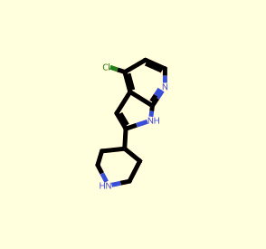 Clc1ccnc2[nH]c(C3CCNCC3)cc12